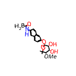 BC(=O)Nc1ccc2cc(O[C@@H]3OC(C)(C)[C@H](OC)[C@@H](O)[C@H]3O)ccc2c1